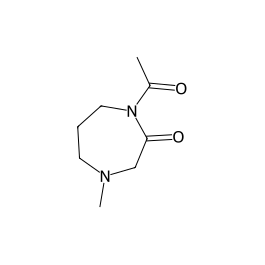 CC(=O)N1CCCN(C)CC1=O